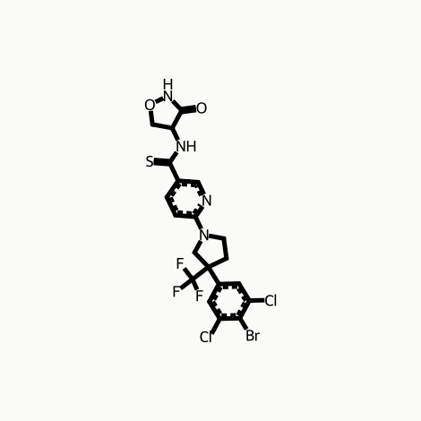 O=C1NOCC1NC(=S)c1ccc(N2CCC(c3cc(Cl)c(Br)c(Cl)c3)(C(F)(F)F)C2)nc1